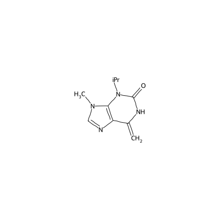 C=C1NC(=O)N(C(C)C)c2c1ncn2C